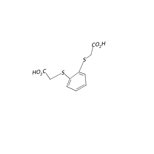 O=C(O)CSc1ccccc1SCC(=O)O